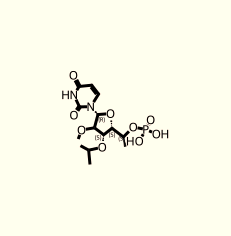 COC1[C@@H](OC(C)C)[C@@H]([C@H](C)OP(=O)(O)O)O[C@H]1n1ccc(=O)[nH]c1=O